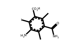 Cc1c(N)c(I)c(C(=O)O)c(C)c1C(N)=O